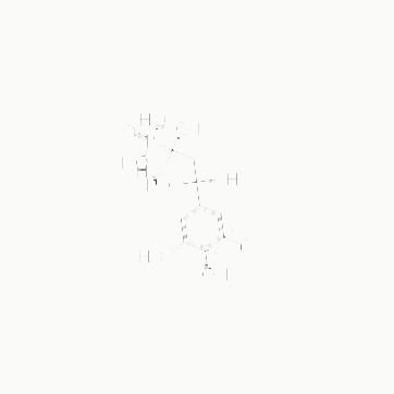 Cc1cc(C(C)(C)CC(C)(C)P(=O)(O)O)cc(C)c1O